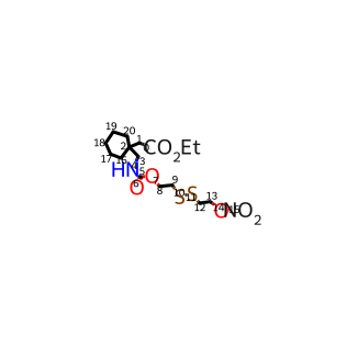 CCOC(=O)CC1(CNC(=O)OCCSSCCO[N+](=O)[O-])CCCCC1